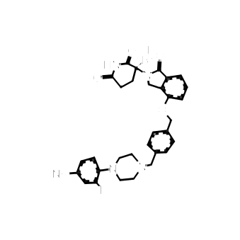 B[C@@]1(N2Cc3c(OCc4ccc(CN5CCN(c6ccc(C#N)cc6F)CC5)cc4)cccc3C2=O)CCC(=O)NC1=O